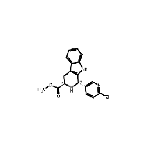 COC(=O)[C@H]1Cc2c([nH]c3ccccc23)[C@H](c2ccc(Cl)nc2)N1